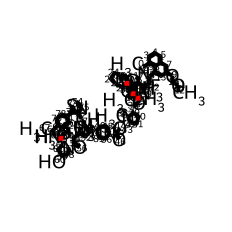 CCc1cccc2cc(OCOC)cc(-c3ncc4c(N5CC6CCC(C5)N6C(=O)OC(C)(C)C)nc(OC[C@@H]5CC[C@H](COC(=O)N6CCN(c7cc([C@H](C(=O)N8C[C@H](O)C[C@H]8C(=O)N[C@@H](C)c8ccc(-c9scnc9C)cc8)C(C)C)on7)CC6)N5C)nc4c3F)c12